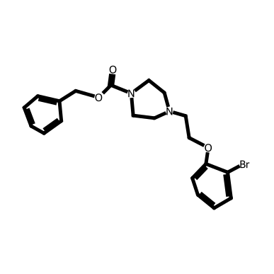 O=C(OCc1ccccc1)N1CCN(CCOc2ccccc2Br)CC1